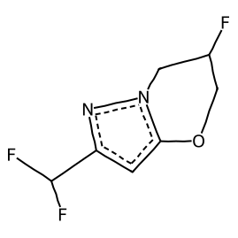 FC1COc2cc(C(F)F)nn2C1